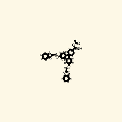 CC(=O)OC(=N)C1CCC(c2ccc(OCc3nc4ccccc4s3)cc2)(c2ccc(OCc3nc4ccccc4s3)cc2)CC1